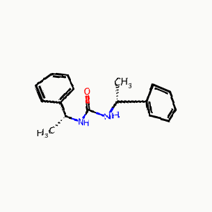 C[C@@H](NC(=O)N[C@H](C)c1ccccc1)c1ccccc1